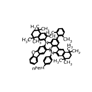 CCCCCc1ccc(N2B3c4cc5c(cc4N(c4cc6c(cc4C)C(C)(C)CCC6(C)C)c4cc(-c6c(C)cccc6C)cc(c43)-c3cc4c(cc32)C(C)(C)CCC4(C)C)oc2ccccc25)cc1